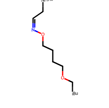 CCC(C)COCCCCO/N=C\CNC(C)=O